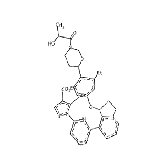 CCOC(=O)c1cnn(-c2cccc(-c3cccc4c3C(Oc3ccc(C5CCN(C(=O)C(C)O)CC5)c(CC)c3)CC4)n2)c1CC